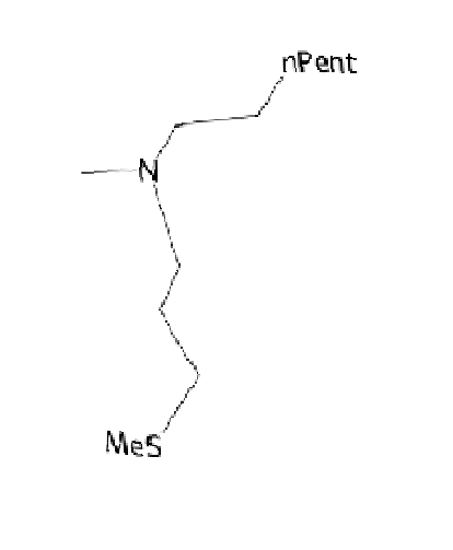 CCCCCCCN(C)CCCSC